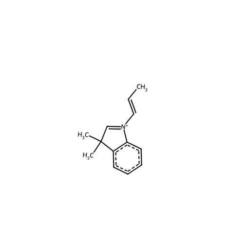 CC=C[N+]1=CC(C)(C)c2ccccc21